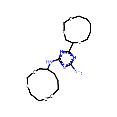 Nc1nc(NC2CCCCCCCCCCC2)nc(C2CCCCCCCCCC2)n1